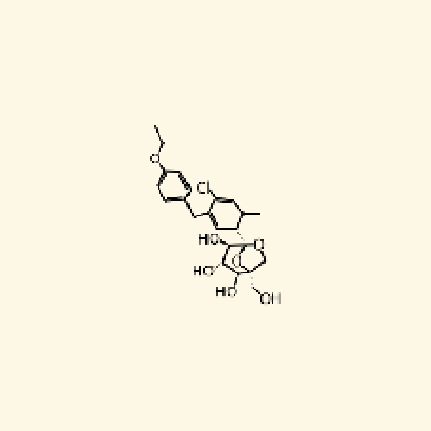 CCOc1ccc(CC2=CC([C@]34OC[C@](CO)(O3)[C@@H](O)[C@H](O)[C@H]4O)C(C)C=C2Cl)cc1